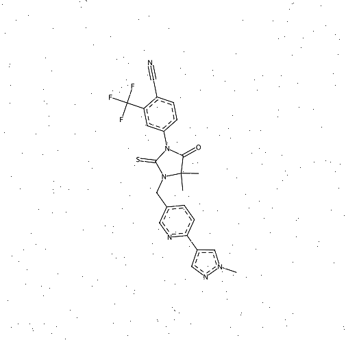 Cn1cc(-c2ccc(CN3C(=S)N(c4ccc(C#N)c(C(F)(F)F)c4)C(=O)C3(C)C)cn2)cn1